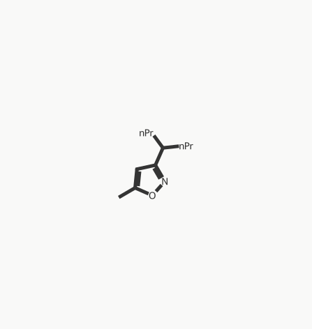 CCCC(CCC)c1cc(C)on1